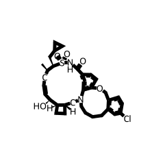 C[C@@H]1C/C=C\[C@@H](O)[C@@H]2CC[C@H]2CN2CCCCc3cc(Cl)ccc3COc3ccc(cc32)C(=O)NS(=O)(=O)[C@@H]1CC1CC1